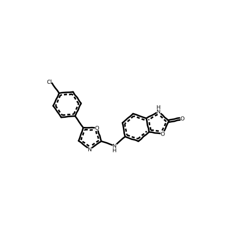 O=c1[nH]c2ccc(Nc3ncc(-c4ccc(Cl)cc4)o3)cc2o1